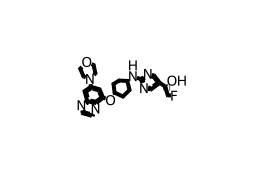 O[C@H](CF)c1cnc(N[C@H]2CC[C@@H](Oc3cc(N4CCOCC4)cc4nccnc34)CC2)nc1